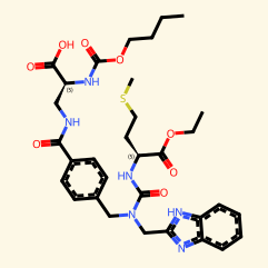 CCCCOC(=O)N[C@@H](CNC(=O)c1ccc(CN(Cc2nc3ccccc3[nH]2)C(=O)N[C@@H](CCSC)C(=O)OCC)cc1)C(=O)O